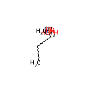 CCCCCCCCCC/C=C\CCCCCCCC/C=C\CCC(O)(C[N+](C)(C)C)P(=O)(O)O